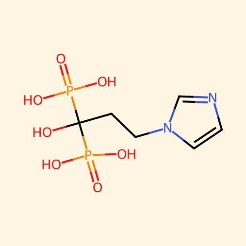 O=P(O)(O)C(O)(CCn1ccnc1)P(=O)(O)O